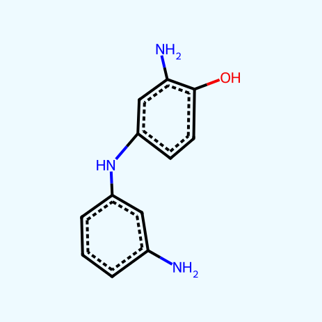 Nc1cccc(Nc2ccc(O)c(N)c2)c1